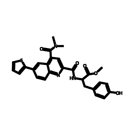 COC(=O)C(Cc1ccc(O)cc1)NC(=O)c1cc(C(=O)N(C)C)c2cc(-c3cccs3)ccc2n1